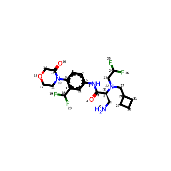 NC[C@@H](C(=O)Nc1ccc(N2CCOCC2=O)c(C(F)F)c1)N(CC(F)F)CC1CCC1